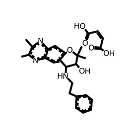 Cc1nc2cc3c(cc2nc1C)C(NCCc1ccccc1)C(O)C(C)(C)O3.O=C(O)/C=C\C(=O)O